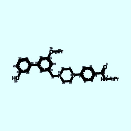 CCCNC(=O)c1ccc(N2CCN(Cc3cc(OC(C)C)cc(-c4cccc(O)c4)c3)CC2)cc1